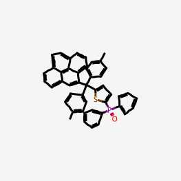 Cc1ccc(C(c2ccc(C)cc2)(c2ccc(P(=O)(c3ccccc3)c3ccccc3)s2)c2cc3cccc4ccc5cccc2c5c43)cc1